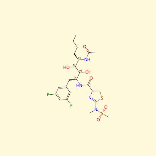 CCCC[C@@H](NC(C)=O)[C@@H](O)[C@H](O)[C@H](Cc1cc(F)cc(F)c1)NC(=O)c1csc(N(C)S(C)(=O)=O)n1